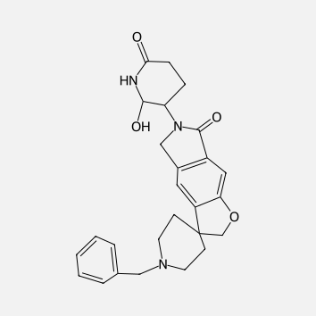 O=C1CCC(N2Cc3cc4c(cc3C2=O)OCC42CCN(Cc3ccccc3)CC2)C(O)N1